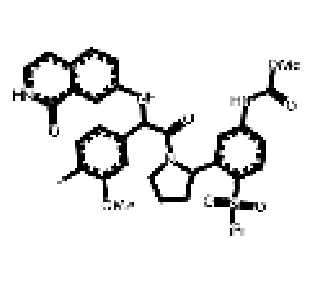 COC(=O)Nc1ccc(S(=O)(=O)C(C)C)c(C2CCCN2C(=O)C(Nc2ccc3cc[nH]c(=O)c3c2)c2ccc(F)c(OC)c2)c1